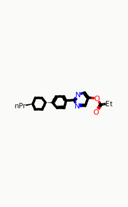 CCC[C@H]1CC[C@H](c2ccc(-c3ncc(OC(=O)CC)cn3)cc2)CC1